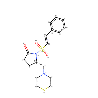 O=C1CC[C@@H](CN2CCSCC2)N1S(=O)(=O)/C=C/c1ccccc1